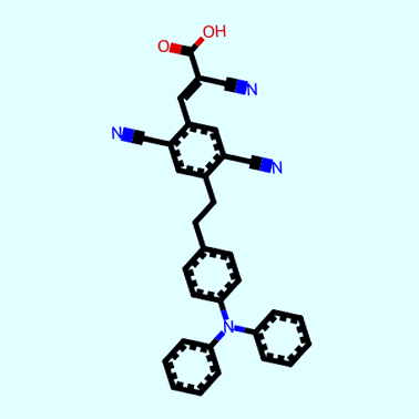 N#C/C(=C\c1cc(C#N)c(CCc2ccc(N(c3ccccc3)c3ccccc3)cc2)cc1C#N)C(=O)O